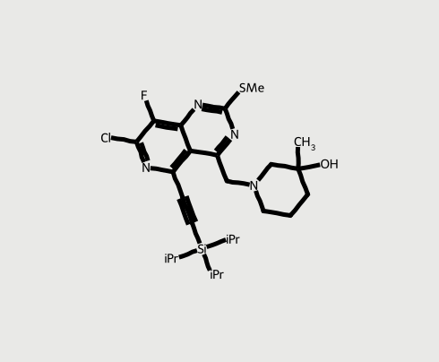 CSc1nc(CN2CCCC(C)(O)C2)c2c(C#C[Si](C(C)C)(C(C)C)C(C)C)nc(Cl)c(F)c2n1